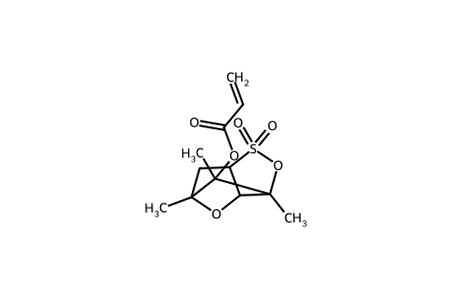 C=CC(=O)OC1(C)C2(C)CC3C(O2)C1(C)OS3(=O)=O